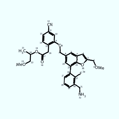 COCc1cc2cc(COc3cc(C#N)ccc3CC(=O)OC(C)COC)cc(-c3cccc(CN)c3F)c2o1